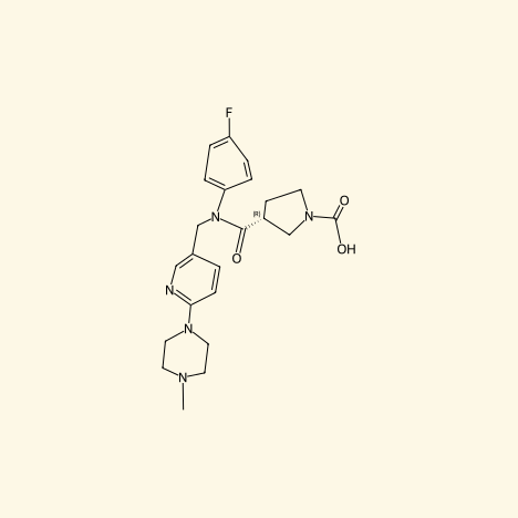 CN1CCN(c2ccc(CN(C(=O)[C@@H]3CCN(C(=O)O)C3)c3ccc(F)cc3)cn2)CC1